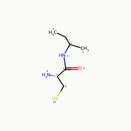 CCC(C)NC(=O)[C@@H](N)CS